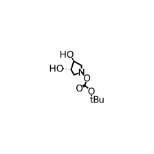 CC(C)(C)OC(=O)ON1C[C@H](O)[C@@H](O)C1